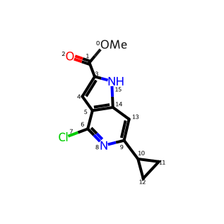 COC(=O)c1cc2c(Cl)nc(C3CC3)cc2[nH]1